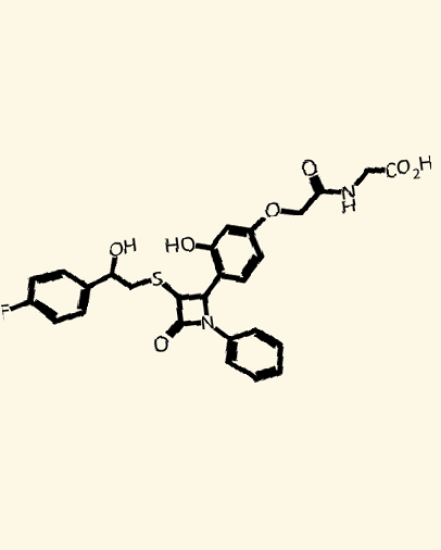 O=C(O)CNC(=O)COc1ccc(C2C(SCC(O)c3ccc(F)cc3)C(=O)N2c2ccccc2)c(O)c1